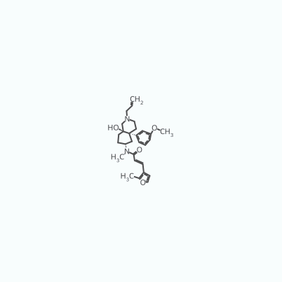 C=CCN1CC[C@@]2(c3cccc(OC)c3)C[C@H](N(C)C(=O)/C=C/c3ccoc3C)CC[C@]2(O)C1